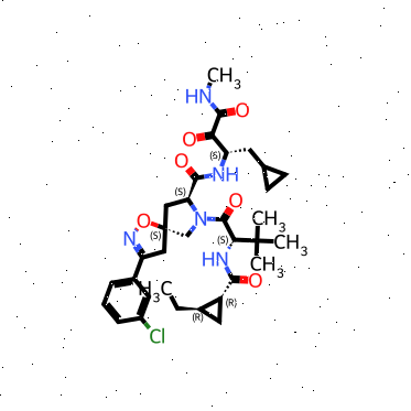 CC[C@@H]1C[C@H]1C(=O)N[C@H](C(=O)N1C[C@@]2(CC(c3cccc(Cl)c3)=NO2)C[C@H]1C(=O)N[C@@H](CC1CC1)C(=O)C(=O)NC)C(C)(C)C